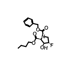 CCCCOC(=O)[C@@H]1[C@H](O)[C@@H](F)CN1C(=O)OCc1ccccc1